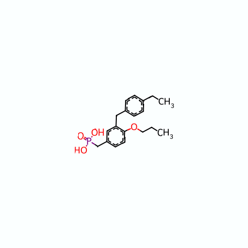 CCCOc1ccc(CP(=O)(O)O)cc1Cc1ccc(CC)cc1